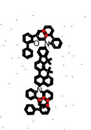 CC1(C)c2cc(N(c3ccccc3-c3ccccc3)c3cccc4c3oc3c(-c5ccccc5)cccc34)ccc2-c2ccc3c(c21)C(C)(C)c1cccc2c(N(c4ccccc4-c4ccccc4)c4cccc5c4oc4c(-c6ccccc6)cccc45)ccc-3c12